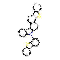 C1=c2sc3c(ccc4c3ccc3c4c4ccccc4n3-c3cccc4c3sc3ccccc34)c2=CCC1